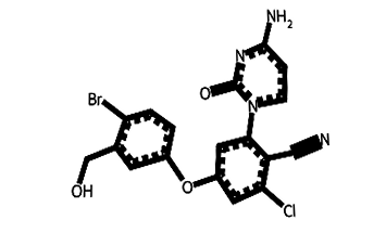 N#Cc1c(Cl)cc(Oc2ccc(Br)c(CO)c2)cc1-n1ccc(N)nc1=O